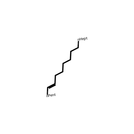 [CH2]CCCCC=CCCCCCCCCCCCC[CH2]